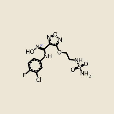 NS(=O)(=O)NCCOc1nonc1/C(=N/O)Nc1ccc(F)c(Cl)c1